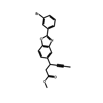 CC#CC(CC(=O)OC)c1ccc2oc(-c3cccc(Br)c3)nc2c1